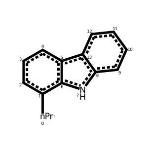 CC[CH]c1cccc2c1[nH]c1ccccc12